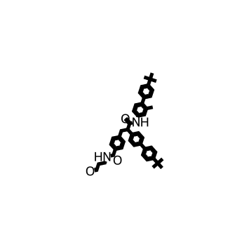 Cc1cc(NC(=O)C(Cc2ccc(C(=O)NCCC=O)cc2)c2ccc(-c3ccc(C(C)(C)C)cc3)cc2)ccc1-c1ccc(C(C)(C)C)cc1